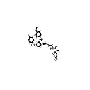 COc1ccc(Nc2nc(Nc3ccc(F)nc3)ncc2C#CCCCNCN(C)C(=O)OC(C)(C)C)cc1